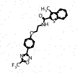 Cc1c(C(=O)NCCOc2ccc(-c3noc(C(F)(F)F)n3)cc2)sc2ccccc12